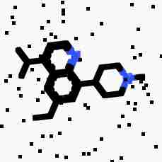 CCc1cc(C2CCN(C)CC2)c2nccc(C(C)C)c2c1